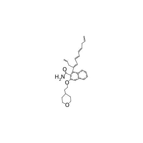 C=CCC=CC=CC=C(CC=C)c1c(C(N)=O)c(OCCC2CCOCC2)cc2ccccc12